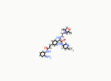 Nc1ccccc1NC(=O)/C=C/c1ccc(C(NCCN2C[C@@H]3C[C@H]2CO3)C(=O)Nc2ccc(C(F)(F)F)nc2)cc1